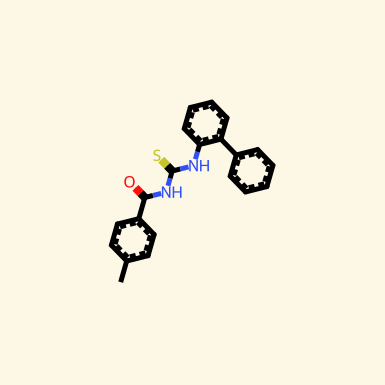 Cc1ccc(C(=O)NC(=S)Nc2ccccc2-c2ccccc2)cc1